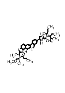 CCCC(=O)N([C@H](CC)COC)[C@@H](C)c1nc2ccc3cc4c(cc3c2[nH]1)OCc1cc(-c2cnc([C@H](C)N(C(O)CCC)C(CC)CC)[nH]2)ccc1-4